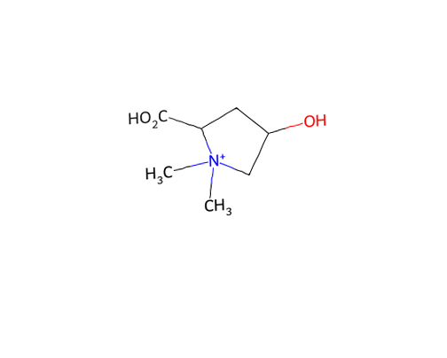 C[N+]1(C)CC(O)CC1C(=O)O